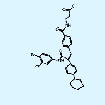 O=C(O)CCNC(=O)c1ccc(CC(C(=O)Nc2ccc(Br)c(Cl)c2)c2ccc(C3CCCCC3)cc2)cc1